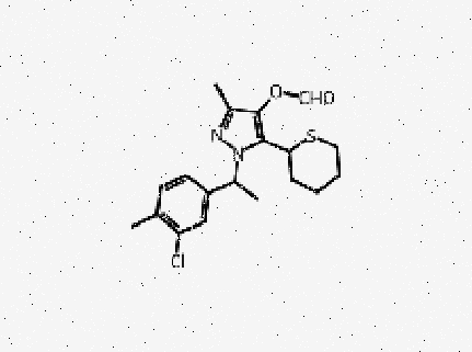 Cc1ccc(C(C)n2nc(C)c(OC=O)c2C2CCCCS2)cc1Cl